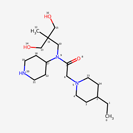 CCC1CCN(CC(=O)N(CC(C)(CO)CO)C2CCNCC2)CC1